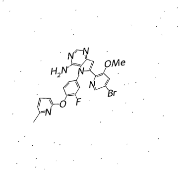 COc1cc(Br)cnc1-c1cc2ncnc(N)c2n1-c1ccc(Oc2cccc(C)n2)c(F)c1